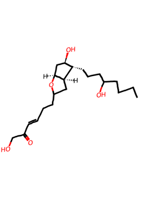 CCCCC(O)CCC[C@@H]1[C@H]2CC(CCC=CC(=O)CO)O[C@H]2C[C@H]1O